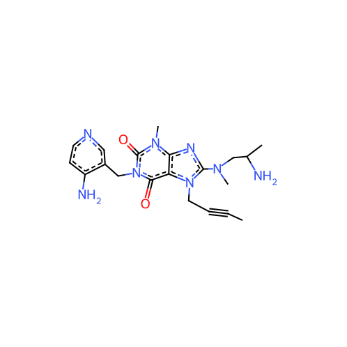 CC#CCn1c(N(C)CC(C)N)nc2c1c(=O)n(Cc1cnccc1N)c(=O)n2C